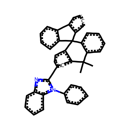 CC1(C)c2ccccc2C2(c3ccccc3-c3ccccc32)c2ccc(-c3nc4ccccc4n3-c3ccccc3)cc21